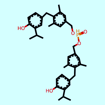 Cc1cc(CO[PH](=O)OCc2cc(C)c(Cc3ccc(O)c(C(C)C)c3)c(C)c2)cc(C)c1Cc1ccc(O)c(C(C)C)c1